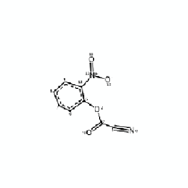 N#CC(=O)Oc1ccccc1[N+](=O)[O-]